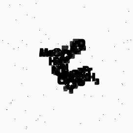 CCCN(C)S(=O)(=O)c1ccccc1Nc1nc(Nc2ccc(N3CCOCC3)cc2OC)ncc1Cl